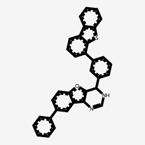 C1=Nc2c(oc3ccc(-c4ccccc4)cc23)C(c2cccc(-c3cccc4c3sc3ccccc34)c2)N1